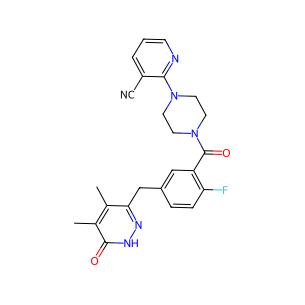 Cc1c(Cc2ccc(F)c(C(=O)N3CCN(c4ncccc4C#N)CC3)c2)n[nH]c(=O)c1C